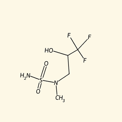 CN(CC(O)C(F)(F)F)S(N)(=O)=O